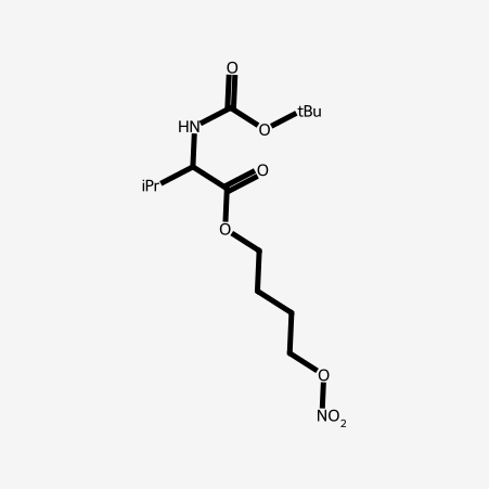 CC(C)C(NC(=O)OC(C)(C)C)C(=O)OCCCCO[N+](=O)[O-]